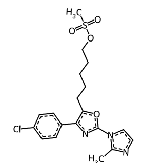 Cc1nccn1-c1nc(-c2ccc(Cl)cc2)c(CCCCCOS(C)(=O)=O)o1